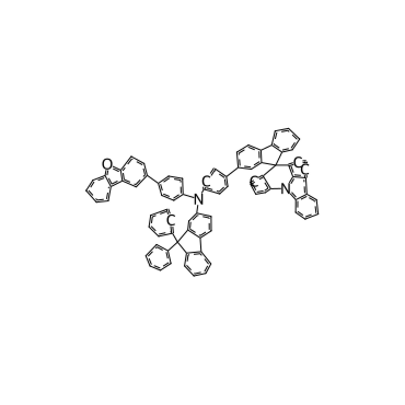 c1ccc(C2(c3ccccc3)c3ccccc3-c3ccc(N(c4ccc(-c5ccc6c(c5)C5(c7ccccc7-6)c6ccccc6-n6c7ccccc7c7cccc5c76)cc4)c4ccc(-c5ccc6oc7ccccc7c6c5)cc4)cc32)cc1